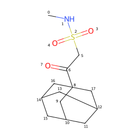 CNS(=O)(=O)CC(=O)C12CC3CC(CC(C3)C1)C2